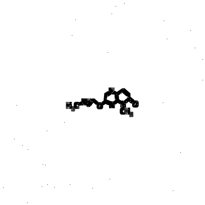 CNCCOc1cnc2ccc(=O)n(C)c2n1